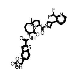 O=C(N[C@H]1CCC[C@H]2CC[C@@H](C(=O)N3CC(c4cccnc4C(F)F)C3)N2C1=O)c1cc2cc(CP(=O)(O)O)ccc2s1